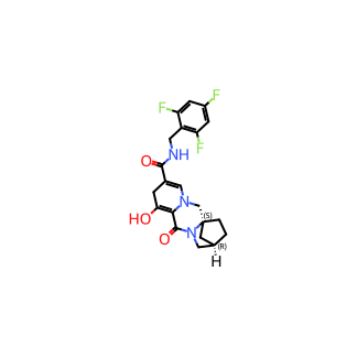 O=C(NCc1c(F)cc(F)cc1F)C1=CN2C[C@@]34CC[C@@H](CN3C(=O)C2=C(O)C1)C4